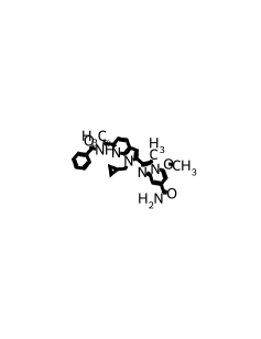 COc1cc(C(N)=O)cc2nc(-c3cc4ccc([C@@H](C)NC(=O)c5ccccc5)nc4n3CC3CC3)c(C)n12